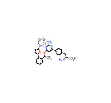 CN(CC=O)c1ccc(-c2ccccc2C(Oc2cc(-c3ccc(CC(N)C(=O)O)cc3)nc(N)n2)C(F)(F)F)o1